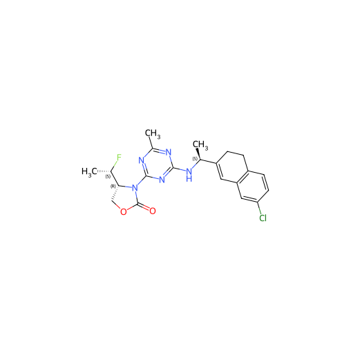 Cc1nc(N[C@@H](C)C2=Cc3cc(Cl)ccc3CC2)nc(N2C(=O)OC[C@@H]2[C@H](C)F)n1